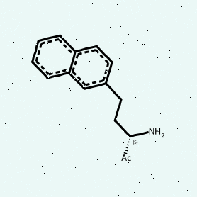 CC(=O)[C@@H](N)CCc1ccc2ccccc2c1